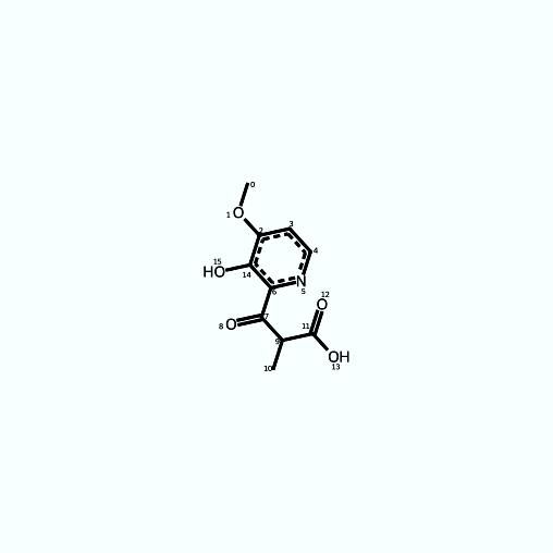 COc1ccnc(C(=O)C(C)C(=O)O)c1O